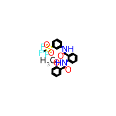 COc1ccccc1C(=O)Nc1ccccc1C(=O)Nc1cccc(S(=O)(=O)C(F)(F)F)c1